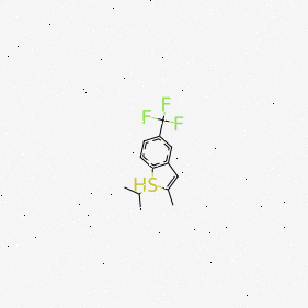 CC1=Cc2cc(C(F)(F)F)ccc2[SH]1C(C)C